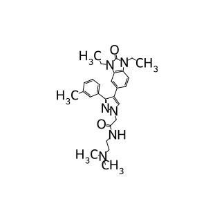 CCn1c(=O)n(CC)c2cc(-c3cn(CC(=O)NCCN(C)C)nc3-c3cccc(C)c3)ccc21